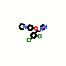 Clc1ccc(C(Cn2ccnc2)Oc2ccc(N3CCCCC3)cc2)c(Cl)c1